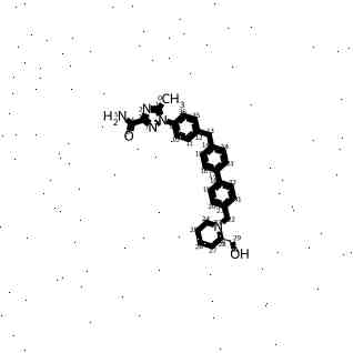 Cc1nc(C(N)=O)nn1-c1ccc(Cc2ccc(-c3ccc(CN4CCCC[C@H]4CO)cc3)cc2)cc1